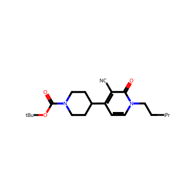 CC(C)CCn1ccc(C2CCN(C(=O)OC(C)(C)C)CC2)c(C#N)c1=O